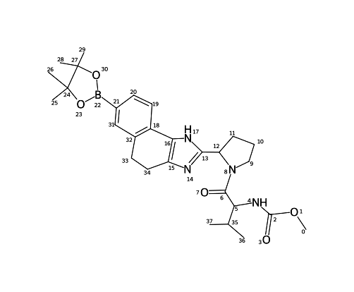 COC(=O)NC(C(=O)N1CCCC1c1nc2c([nH]1)-c1ccc(B3OC(C)(C)C(C)(C)O3)cc1CC2)C(C)C